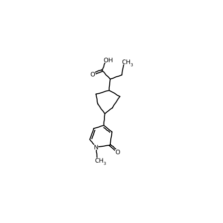 CCC(C(=O)O)C1CCC(c2ccn(C)c(=O)c2)CC1